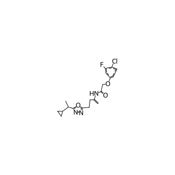 C=C(CCc1nnc(C(C)C2CC2)o1)NC(=O)COc1ccc(Cl)c(F)c1